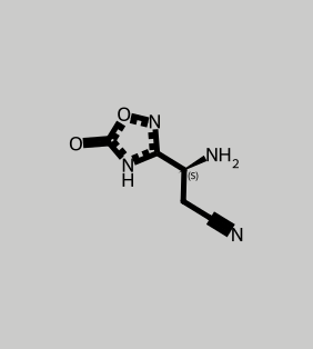 N#CC[C@H](N)c1noc(=O)[nH]1